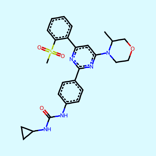 CC1COCCN1c1cc(-c2ccccc2S(C)(=O)=O)nc(-c2ccc(NC(=O)NC3CC3)cc2)n1